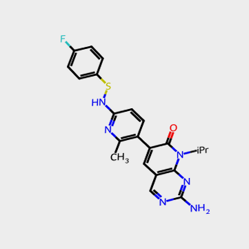 Cc1nc(NSc2ccc(F)cc2)ccc1-c1cc2cnc(N)nc2n(C(C)C)c1=O